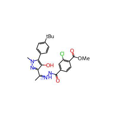 COC(=O)c1ccc(C(=O)N/N=C(/C)c2nn(C)c(-c3ccc(C(C)(C)C)cc3)c2O)cc1Cl